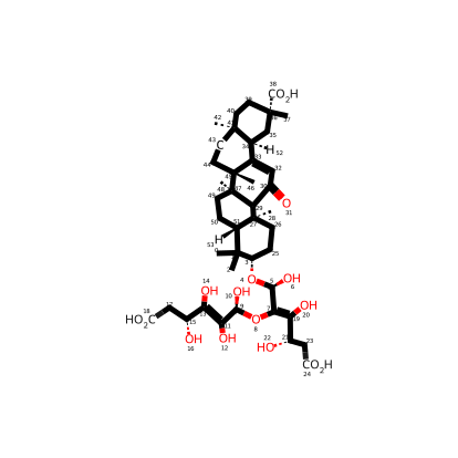 CC1(C)[C@@H](O[C@@H](O)/C(O[C@H](O)/C(O)=C(\O)[C@H](O)CC(=O)O)=C(\O)[C@@H](O)CC(=O)O)CC[C@]2(C)C3C(=O)C=C4[C@@H]5C[C@@](C)(C(=O)O)CC[C@]5(C)CC[C@@]4(C)[C@]3(C)CC[C@@H]12